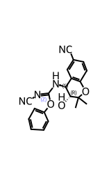 CC1(C)Oc2ccc(C#N)cc2[C@H](N/C(=N/C#N)Oc2ccccc2)[C@H]1O